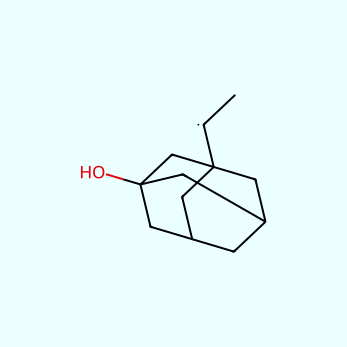 C[CH]C12CC3CC(CC(O)(C3)C1)C2